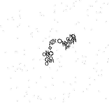 Cn1c(=O)n(C2CCC(=O)NC2=O)c2cccc([C@H]3C[C@H](CN4CCN(C[C@H]5CC[C@H](n6cc(NC(=O)c7cnn8cccnc78)c(C(F)F)n6)CC5)CC4)C3)c21